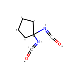 O=C=NC1(N=C=O)CCCC1